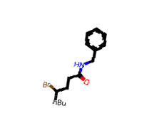 CCCCC(Br)CCC(=O)NCc1ccccc1